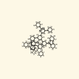 CC1(C)c2ccccc2-c2ccc3c(c21)c1ccccc1n3-c1c(-c2cccc(-n3c4ccccc4c4ccccc43)c2)cc(-c2cc(-c3ccccc3)nc(-c3ccccc3)n2)cc1-c1cccc(-n2c3ccccc3c3ccccc32)c1